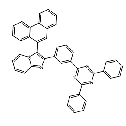 c1ccc(-c2nc(-c3ccccc3)nc(-c3cccc(-c4nc5ccccn5c4-c4cc5ccccc5c5ccccc45)c3)n2)cc1